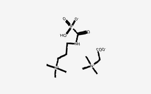 C[N+](C)(C)CC(=O)[O-].C[N+](C)(C)CCCNC(=O)P(=O)([O-])O